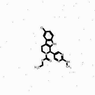 CCOC(=O)N1CCc2c([nH]c3ccc(Cl)cc23)C1c1cnc(NC)nc1